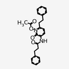 CC(=O)On1c(CCc2ccccc2)ccc(NC(=O)CCc2ccccc2)c1=O